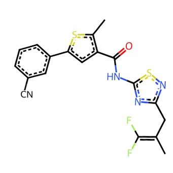 CC(Cc1nsc(NC(=O)c2cc(-c3cccc(C#N)c3)sc2C)n1)=C(F)F